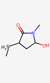 C[SiH2]C1CC(O)N(C)C1=O